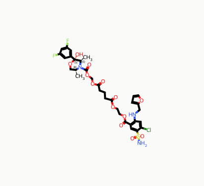 C[C@@H]1CO[C@@](O)(c2cc(F)cc(F)c2)[C@H](C)N1C(=O)OCOC(=O)CCCC(=O)OCCOC(=O)c1cc(S(N)(=O)=O)c(Cl)cc1NCc1ccco1